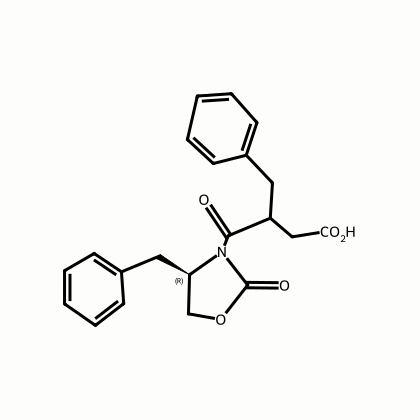 O=C(O)CC(Cc1ccccc1)C(=O)N1C(=O)OC[C@H]1Cc1ccccc1